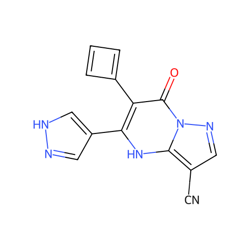 N#Cc1cnn2c(=O)c(C3=CC=C3)c(-c3cn[nH]c3)[nH]c12